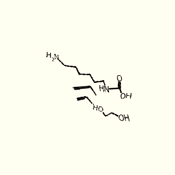 C=CC.C=CC.NCCCCCCNC(=O)O.OCCO